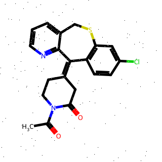 CC(=O)N1CCC(=C2c3ccc(Cl)cc3SCc3cccnc32)CC1=O